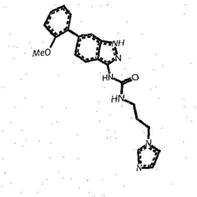 COc1ccccc1-c1ccc2c(NC(=O)NCCCn3ccnc3)n[nH]c2c1